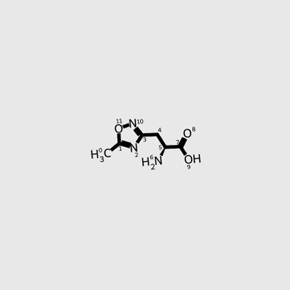 Cc1nc(C[C@H](N)C(=O)O)no1